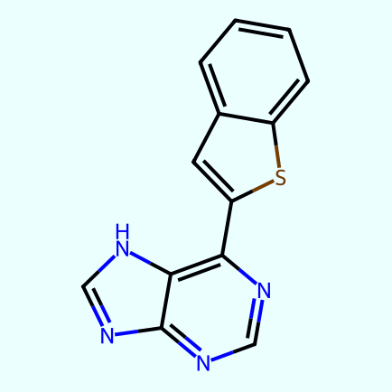 c1ccc2sc(-c3ncnc4nc[nH]c34)cc2c1